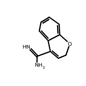 N=C(N)C1=CCOc2ccccc21